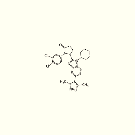 Cc1noc(C)c1-c1ccc2c(c1)nc(C1CCC(=O)N1c1ccc(Cl)c(Cl)c1)n2C1CCSCC1